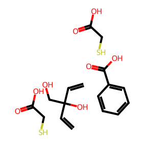 C=CC(O)(C=C)CO.O=C(O)CS.O=C(O)CS.O=C(O)c1ccccc1